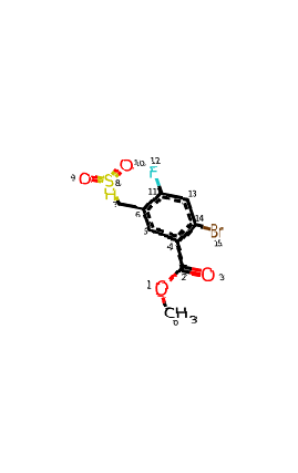 COC(=O)c1cc(C[SH](=O)=O)c(F)cc1Br